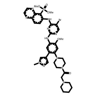 COc1cc(N2CCN(C(=O)CN3CCCCC3)CC2)c(-c2cnn(C)c2)cc1Nc1ncc(Br)c(Nc2ccc3nccnc3c2P(=O)(OC)OC)n1